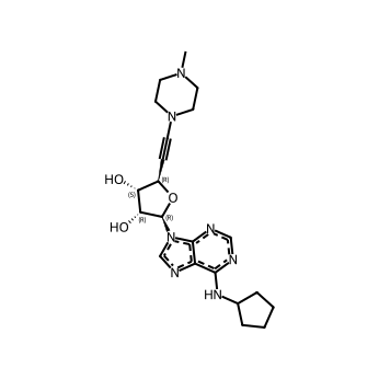 CN1CCN(C#C[C@H]2O[C@@H](n3cnc4c(NC5CCCC5)ncnc43)[C@H](O)[C@@H]2O)CC1